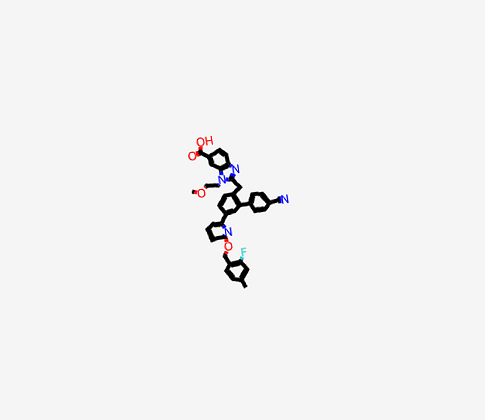 COCCn1c(Cc2ccc(-c3cccc(OCc4ccc(C)cc4F)n3)cc2-c2ccc(C#N)cc2)nc2ccc(C(=O)O)cc21